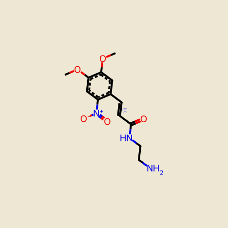 COc1cc(/C=C/C(=O)NCCN)c([N+](=O)[O-])cc1OC